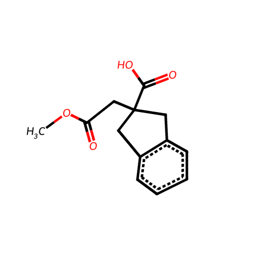 COC(=O)CC1(C(=O)O)Cc2ccccc2C1